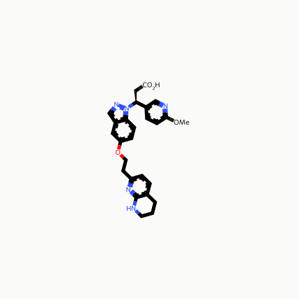 COc1ccc([C@H](CC(=O)O)n2ncc3cc(OCCc4ccc5c(n4)NCCC5)ccc32)cn1